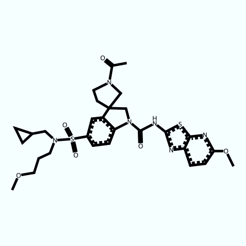 COCCCN(CC1CC1)S(=O)(=O)c1ccc2c(c1)C1(CCN(C(C)=O)C1)CN2C(=O)Nc1nc2ccc(OC)nc2s1